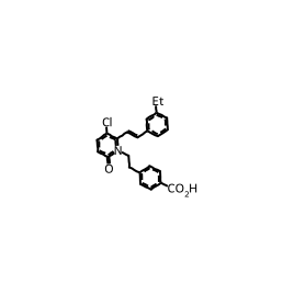 CCc1cccc(C=Cc2c(Cl)ccc(=O)n2CCc2ccc(C(=O)O)cc2)c1